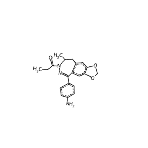 CCC(=O)N1N=C(c2ccc(N)cc2)c2cc3c(cc2CC1C)OCO3